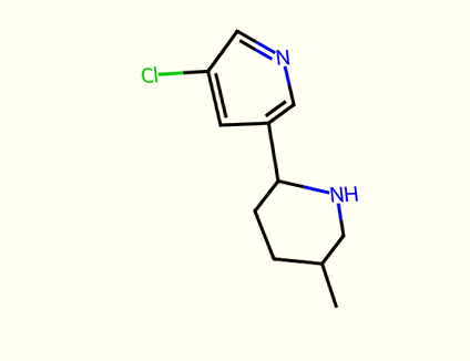 CC1CCC(c2cncc(Cl)c2)NC1